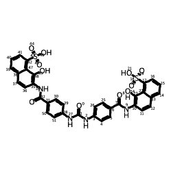 O=C(Nc1ccc(C(=O)Nc2ccc3cccc(S(=O)(=O)O)c3c2O)cc1)Nc1ccc(C(=O)Nc2ccc3cccc(S(=O)(=O)O)c3c2O)cc1